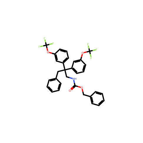 O=C(NCC(Cc1ccccc1)(c1cccc(OC(F)(F)F)c1)c1cccc(OC(F)(F)F)c1)OCc1ccccc1